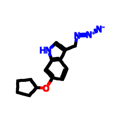 [N-]=[N+]=NCc1c[nH]c2cc(OC3CCCC3)ccc12